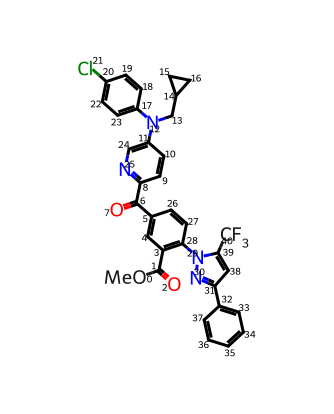 COC(=O)c1cc(C(=O)c2ccc(N(CC3CC3)c3ccc(Cl)cc3)cn2)ccc1-n1nc(-c2ccccc2)cc1C(F)(F)F